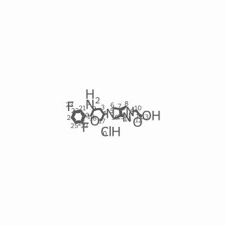 Cl.N[C@H]1C[C@@H](N2Cc3cn(CC(=O)O)nc3C2)CO[C@@H]1c1cc(F)ccc1F